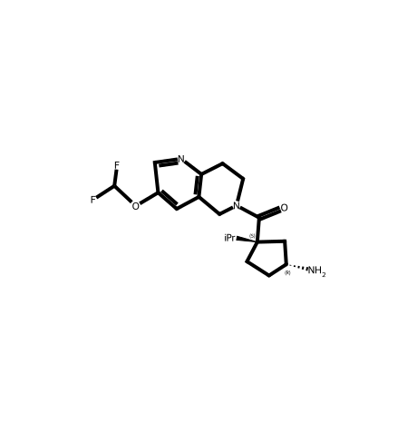 CC(C)[C@]1(C(=O)N2CCc3ncc(OC(F)F)cc3C2)CC[C@@H](N)C1